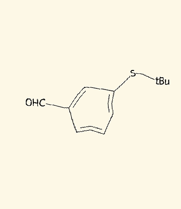 CC(C)(C)Sc1cccc(C=O)c1